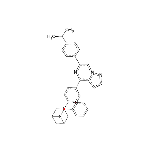 CC(C)c1ccc(-c2cn3nccc3c(-c3ccc(N4CC5CC(C4)N5Cc4ccccc4)nc3)n2)cc1